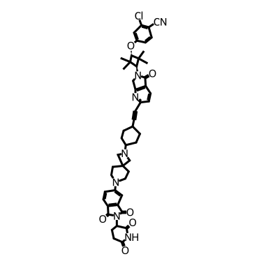 CC1(C)[C@H](Oc2ccc(C#N)c(Cl)c2)C(C)(C)[C@H]1N1Cc2nc(C#CC3CCC(N4CC5(CCN(c6ccc7c(c6)C(=O)N(C6CCC(=O)NC6=O)C7=O)CC5)C4)CC3)ccc2C1=O